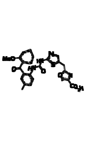 COc1ccccc1C(=O)c1cc(C)ccc1NC(=O)Nc1ncc(Cc2nc(C(=O)O)co2)s1